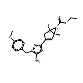 CCOC(=O)[C@H]1[C@@H]2C=C(c3cc(N)n(Cc4ccc(OC)cc4)n3)C[C@@H]21